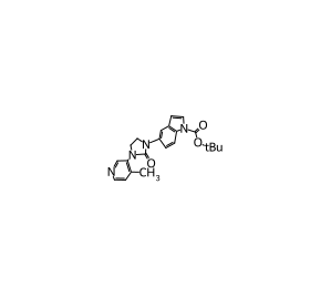 Cc1ccncc1N1CCN(c2ccc3c(ccn3C(=O)OC(C)(C)C)c2)C1=O